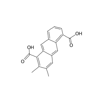 Cc1cc2cc3c(C(=O)O)cccc3cc2c(C(=O)O)c1C